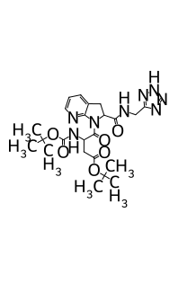 CC(C)(C)OC(=O)CC(NC(=O)OC(C)(C)C)C(=O)N1c2ncccc2CC1C(=O)NCc1nn[nH]n1